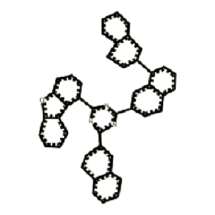 c1ccc2cc(-c3nc(-c4ccc5cccc(-c6ccc7ccccc7c6)c5c4)nc(-c4cccc5oc6ccccc6c45)n3)ccc2c1